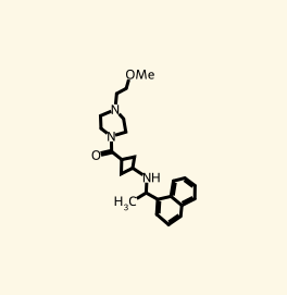 COCCN1CCN(C(=O)C2CC(NC(C)c3cccc4ccccc34)C2)CC1